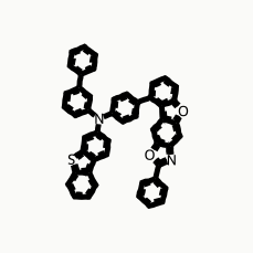 c1ccc(-c2cccc(N(c3ccc(-c4cccc5oc6cc7nc(-c8ccccc8)oc7cc6c45)cc3)c3ccc4c(c3)sc3ccccc34)c2)cc1